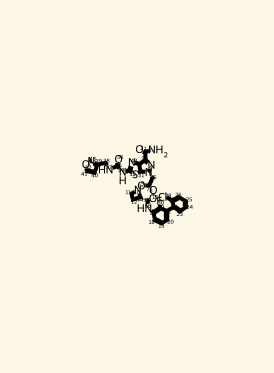 NC(=O)C1=NN(CC(=O)ON2CC[C@H]2C(=O)Nc2cccc(-c3ccccc3Cl)c2F)C2SC(NC(=O)NCc3ccon3)=NC12